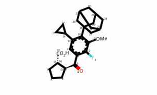 COc1c(F)c(C(=O)[C@H]2CCC[C@@H]2C(=O)O)cc(C2CC2)c1C12CC3CC(CC(C3)C1)C2